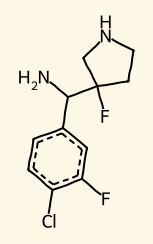 NC(c1ccc(Cl)c(F)c1)C1(F)CCNC1